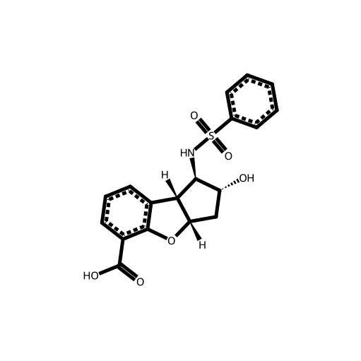 O=C(O)c1cccc2c1O[C@H]1C[C@@H](O)[C@H](NS(=O)(=O)c3ccccc3)[C@@H]21